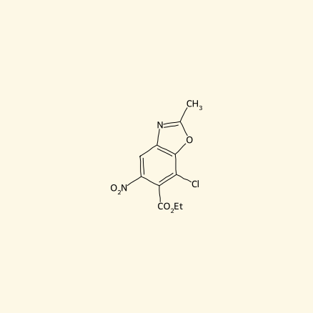 CCOC(=O)c1c([N+](=O)[O-])cc2nc(C)oc2c1Cl